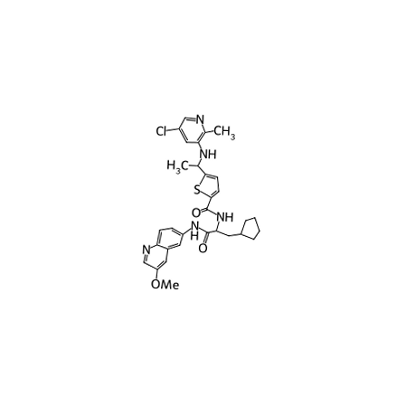 COc1cnc2ccc(NC(=O)C(CC3CCCC3)NC(=O)c3ccc(C(C)Nc4cc(Cl)cnc4C)s3)cc2c1